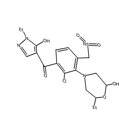 CCC1CN(c2c(C[SH](=O)=O)ccc(C(=O)c3cnn(CC)c3O)c2Cl)CC(O)O1